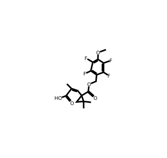 COc1c(F)c(F)c(COC(=O)C2(C=C(C)C(=O)O)CC2(C)C)c(F)c1F